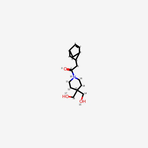 O=C(CC1CC2C=CC1C2)N1CCC(CO)(CO)CC1